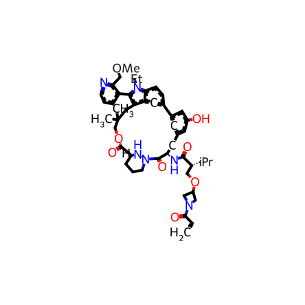 C=CC(=O)N1CC(OC[C@H](C(=O)N[C@H]2Cc3cc(O)cc(c3)-c3ccc4c(c3)c(c(-c3cccnc3COC)n4CC)CC(C)(C)COC(=O)[C@@H]3CCCN(N3)C2=O)C(C)C)C1